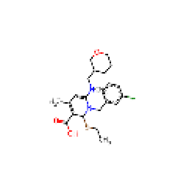 CCSC1C(C(=O)O)=C(C)C=C(N(C)CC2CCCOC2)N1Cc1cccc(F)c1